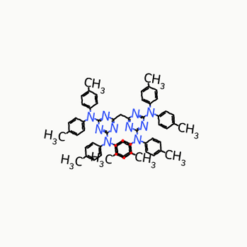 Cc1ccc(N(c2ccc(C)cc2)c2nc(Cc3nc(N(c4ccc(C)cc4)c4ccc(C)cc4)nc(N(c4ccc(C)cc4)c4ccc(C)cc4)n3)nc(N(c3ccc(C)cc3)c3ccc(C)cc3)n2)cc1